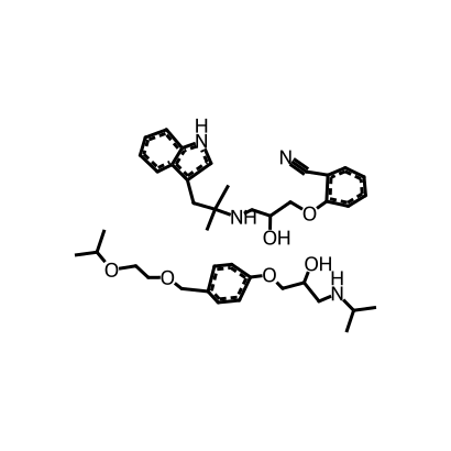 CC(C)(Cc1c[nH]c2ccccc12)NCC(O)COc1ccccc1C#N.CC(C)NCC(O)COc1ccc(COCCOC(C)C)cc1